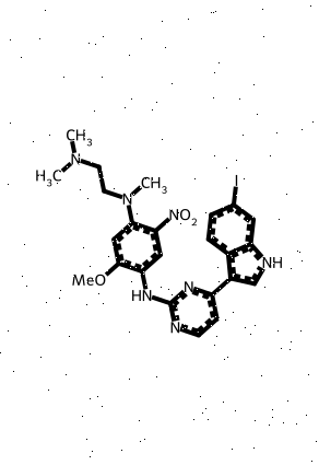 COc1cc(N(C)CCN(C)C)c([N+](=O)[O-])cc1Nc1nccc(-c2c[nH]c3cc(I)ccc23)n1